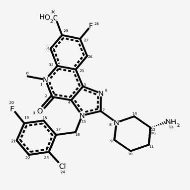 Cn1c(=O)c2c(nc(N3CCC[C@@H](N)C3)n2Cc2cc(F)ccc2Cl)c2cc(F)c(C(=O)O)cc21